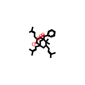 CC(C)=CCC1C(=O)C2(CC=C(C)C)CC(CC=C(C)C)C(C)(C)C(C(=O)c3ccccc3)(C1=O)C2=O